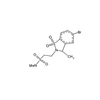 CNS(=O)(=O)CCN1C(C)c2cc(Br)ccc2S1(=O)=O